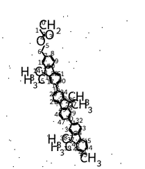 C=CC(=O)OCCc1ccc2c(c1)C(C)(C)c1cc(-c3ccc4c(c3)C(C)(C)c3cc(-c5ccc6c(c5)C(C)(C)c5cc(C)ccc5-6)ccc3-4)ccc1-2